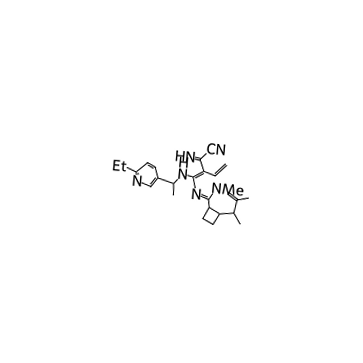 C=C/C(C(=N)C#N)=C(\N=C(/NC)C1CCC1C(C)C(=C)C)NC(C)c1ccc(CC)nc1